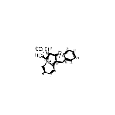 CCOC(=O)c1c(O)n2ccccc2c(Cc2ccccc2)c1=O